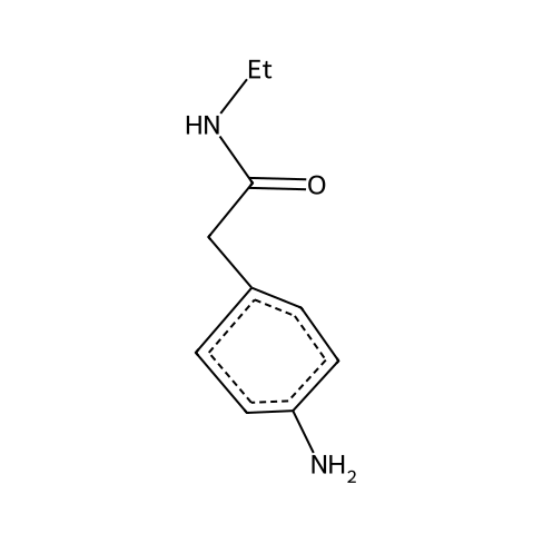 CCNC(=O)Cc1ccc(N)cc1